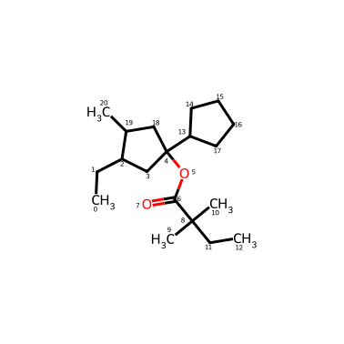 CCC1CC(OC(=O)C(C)(C)CC)(C2CCCC2)CC1C